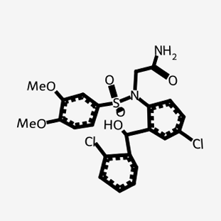 COc1ccc(S(=O)(=O)N(CC(N)=O)c2ccc(Cl)cc2C(O)c2ccccc2Cl)cc1OC